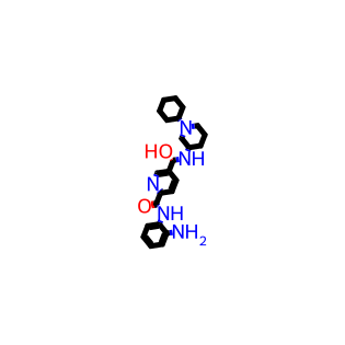 Nc1ccccc1NC(=O)c1ccc(C(O)NC2CCCN(C3CCCCC3)C2)cn1